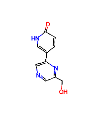 O=c1ccc(-c2cncc(CO)n2)c[nH]1